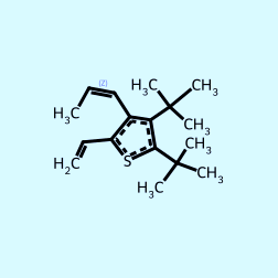 C=Cc1sc(C(C)(C)C)c(C(C)(C)C)c1/C=C\C